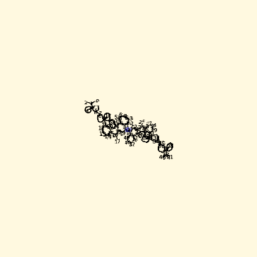 C=C(C)C(=O)OCCOC(=O)c1cccc(C(C)C2=C/C(=C3/C=C(C(C)c4cccc(C(=O)OCCOC(=O)C(=C)C)c4)C(=O)c4ccccc43)c3ccccc3C2=O)c1